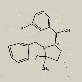 CC1(C)CC[C@H](C(O)c2cccc(F)c2)N1Cc1ccccc1